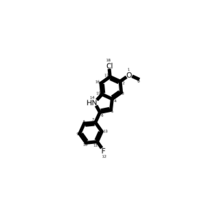 COc1cc2cc(-c3cccc(F)c3)[nH]c2cc1Cl